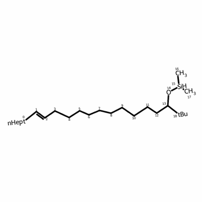 CCCCCCCC=CCCCCCCCCCCC(O[SiH](C)C)C(C)(C)C